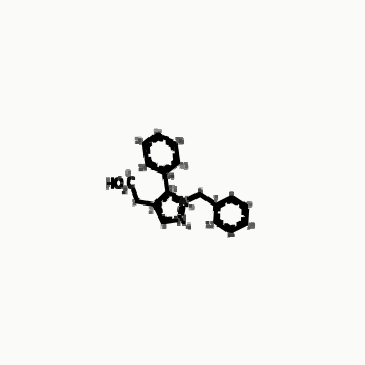 O=C(O)Cc1cnn(Cc2ccccc2)c1-c1ccccc1